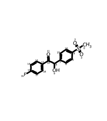 CS(=O)(=O)c1ccc(C(O)C(=O)c2ccc(F)cc2)cc1